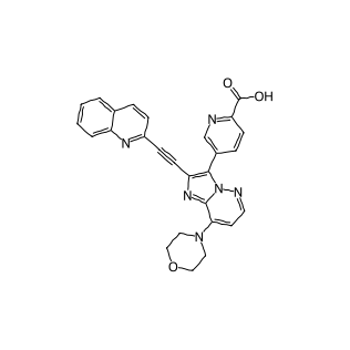 O=C(O)c1ccc(-c2c(C#Cc3ccc4ccccc4n3)nc3c(N4CCOCC4)ccnn23)cn1